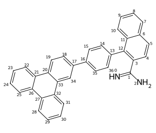 N=C(N)c1ccc2ccccc2c1-c1ccc(-c2ccc3c4ccccc4c4ccccc4c3c2)cc1